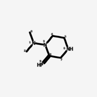 CN(C)N1CCNCC1=P